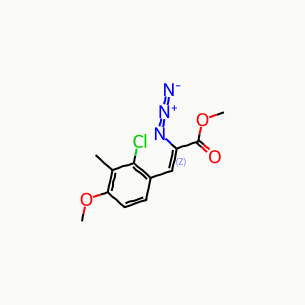 COC(=O)/C(=C/c1ccc(OC)c(C)c1Cl)N=[N+]=[N-]